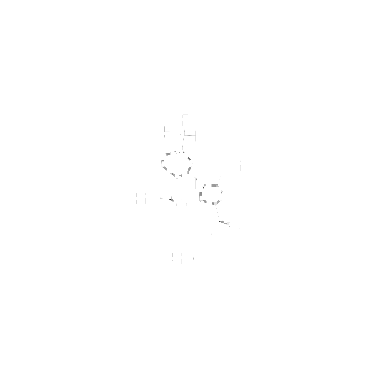 CCOC(=O)c1cc(C)n(-c2cc(C(F)(F)F)ccc2C(=O)O)c1